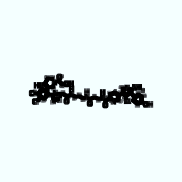 CCc1c(-c2ccc(C(=O)NCCC(=O)NCCCNC(=O)Cn3ccc(-c4cc(Cl)c(Cl)c5[nH]c6c(c45)CN(C(=O)CO)CC6)n3)nc2)cnc(N)c1-c1ccc(O)cc1